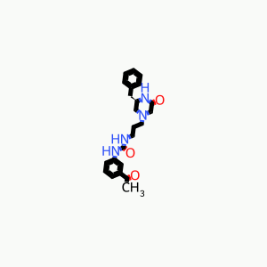 CC(=O)c1cccc(NC(=O)NCCCN2CC(=O)N[C@@H](Cc3ccccc3)C2)c1